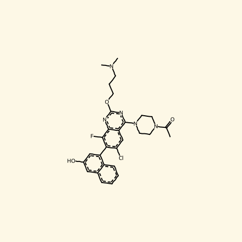 CC(=O)N1CCN(c2nc(OCCCN(C)C)nc3c(F)c(-c4cc(O)cc5ccccc45)c(Cl)cc23)CC1